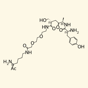 CC(=O)[C@@H](N)CCCCNC(=O)COCCOCCNC(=O)[C@H](CO)CC(=O)[C@@H](C)NC(=O)[C@@H](N)Cc1ccc(O)cc1